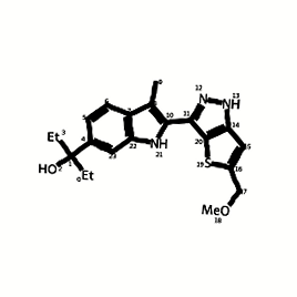 CCC(O)(CC)c1ccc2c(C)c(-c3n[nH]c4cc(COC)sc34)[nH]c2c1